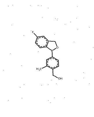 Cc1cc(B2OCc3cc(F)ccc32)ccc1CO